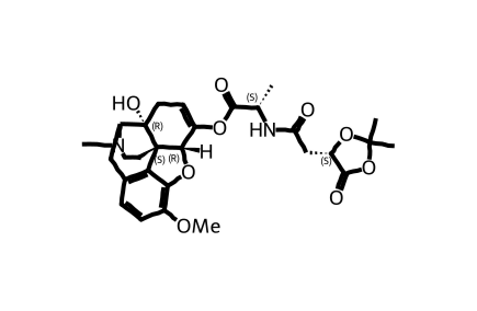 COc1ccc2c3c1O[C@H]1C(OC(=O)[C@H](C)NC(=O)C[C@@H]4OC(C)(C)OC4=O)=CC[C@]4(O)C(C2)N(C)CC[C@]314